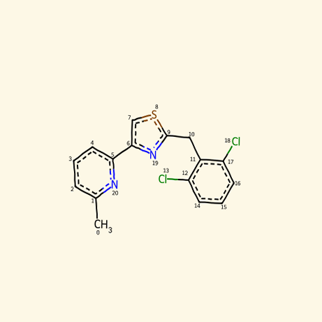 Cc1cccc(-c2csc(Cc3c(Cl)cccc3Cl)n2)n1